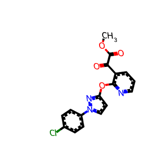 COC(=O)C(=O)c1cccnc1Oc1ccn(-c2ccc(Cl)cc2)n1